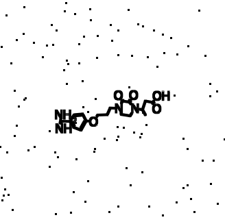 CC(CC(=O)O)N1CCN(CCCOc2ccc(C(=N)N)cc2)C(=O)C1=O